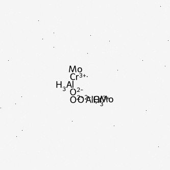 [AlH3].[AlH3].[Cr+3].[Cr+3].[Mo].[Mo].[O-2].[O-2].[O-2]